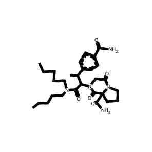 CCCCCN(CCCCC)C(=O)C(C(C)c1ccc(C(N)=O)cc1)N1CC(=O)N2C[CH]CC2(C(N)=O)C1=O